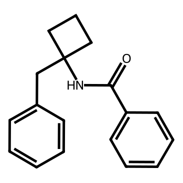 O=C(NC1(Cc2ccccc2)CCC1)c1ccccc1